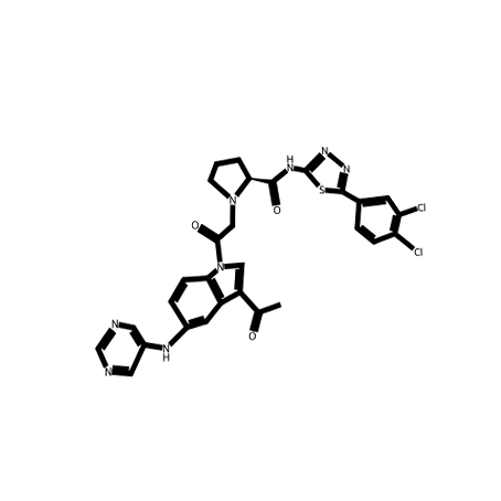 CC(=O)c1cn(C(=O)CN2CCC[C@H]2C(=O)Nc2nnc(-c3ccc(Cl)c(Cl)c3)s2)c2ccc(Nc3cncnc3)cc12